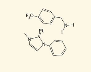 Cn1ccn(-c2ccccc2)[c]1=[Pt].FC(F)(F)c1ccc(CN(I)I)cc1